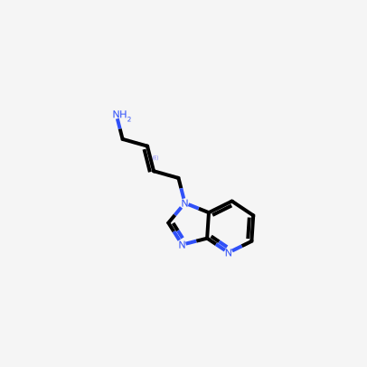 NC/C=C/Cn1cnc2ncccc21